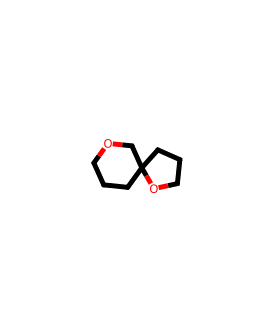 C1COCC2(C1)CCCO2